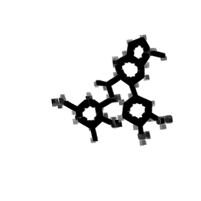 Cc1nc(N)nc(N[C@@H](C)c2nc3ccn(C)c3cc2-c2ccc(O)c(C=O)c2)c1C#N